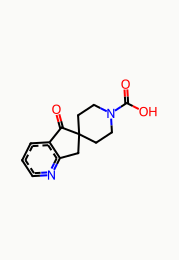 O=C(O)N1CCC2(CC1)Cc1ncccc1C2=O